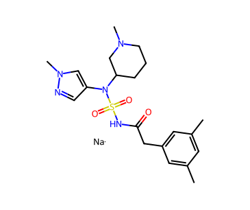 Cc1cc(C)cc(CC(=O)NS(=O)(=O)N(c2cnn(C)c2)C2CCCN(C)C2)c1.[Na]